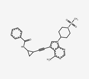 CS(=O)(=O)N1CCC(n2cc(C#CC3CC3NC(=O)c3ccccc3)c3c(N)ncnc32)CC1